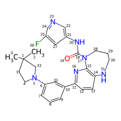 CC1(C)CCN(c2cccc(-c3ccc4c(n3)N(C(=O)Nc3cncc(F)c3)CCCN4)c2)C1